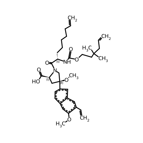 C=CCCCCC[C@H](NC(=O)OCCC(C)(C)CC=C)C(=O)N1C[C@](OC)(c2ccc3cc(OC)c(C=C)cc3c2)C[C@H]1C(=O)O